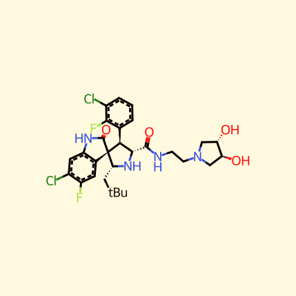 CC(C)(C)C[C@H]1N[C@@H](C(=O)NCCN2C[C@H](O)[C@@H](O)C2)[C@H](c2cccc(Cl)c2F)[C@@]12C(=O)Nc1cc(Cl)c(F)cc12